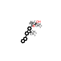 CC1(C)c2cc(BOC(C)(C)C(C)(C)O)ccc2-c2ccc(-c3ccc4ccccc4c3)cc21